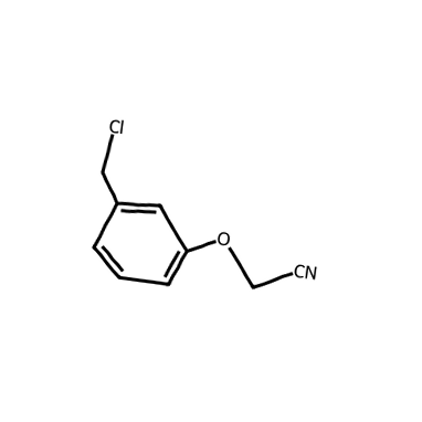 N#CCOc1cccc(CCl)c1